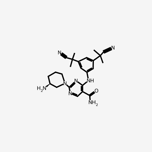 CC(C)(C#N)c1cc(Nc2nc(N3CCC[C@H](N)C3)ncc2C(N)=O)cc(C(C)(C)C#N)c1